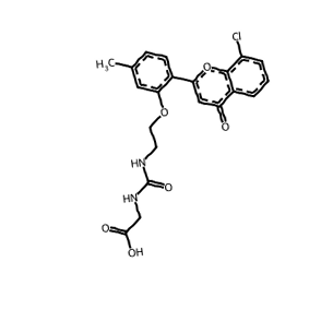 Cc1ccc(-c2cc(=O)c3cccc(Cl)c3o2)c(OCCNC(=O)NCC(=O)O)c1